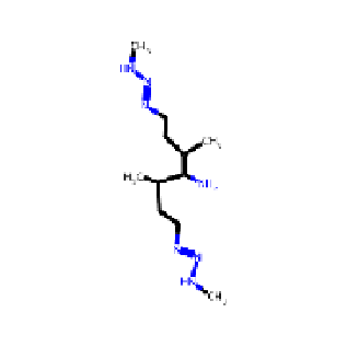 CNN=NCCC(C)C(N)C(C)CCN=NNC